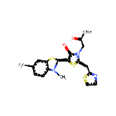 COC(=O)Cn1c(=O)/c(=C2\Sc3cc(C(F)(F)F)ccc3N2C)s/c1=C\c1nccs1